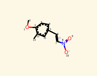 COc1ccc(/C=C/[N+](=O)[O-])cc1C